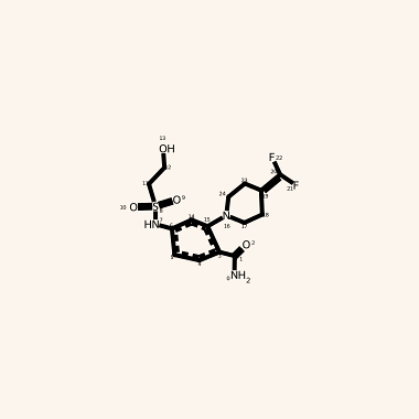 NC(=O)c1ccc(NS(=O)(=O)CCO)cc1N1CCC(=C(F)F)CC1